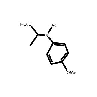 COc1ccc(N(C(C)=O)C(C)C(=O)O)cc1